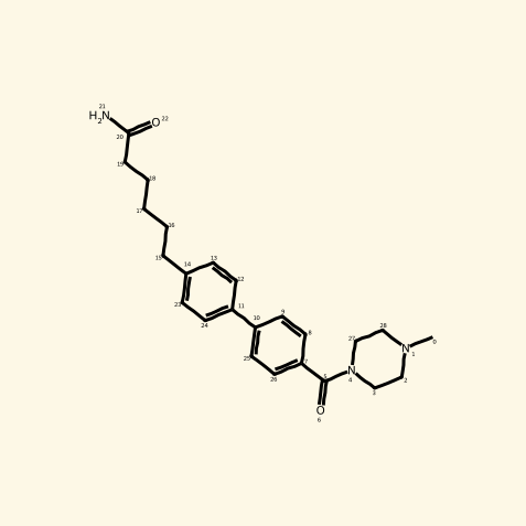 CN1CCN(C(=O)c2ccc(-c3ccc(CCCCCC(N)=O)cc3)cc2)CC1